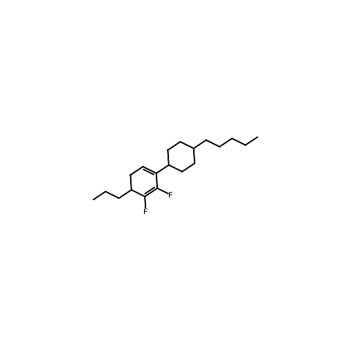 CCCCCC1CCC(C2=CCC(CCC)C(F)=C2F)CC1